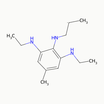 C[CH]CNc1c(NCC)cc(C)cc1NCC